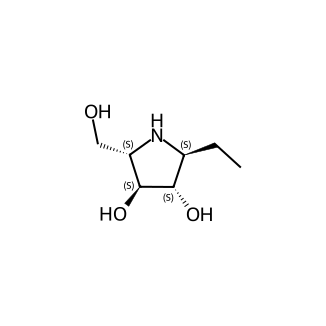 CC[C@@H]1N[C@@H](CO)[C@H](O)[C@H]1O